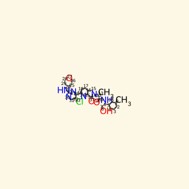 Cc1cccc([C@@H](CO)NC(=O)[C@@H](C)N2Cc3ccc(-c4nc(NC5CCOCC5)ncc4Cl)nc3C2=O)c1